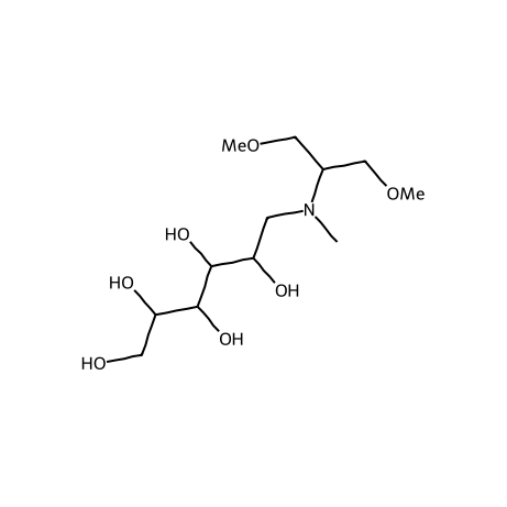 COCC(COC)N(C)CC(O)C(O)C(O)C(O)CO